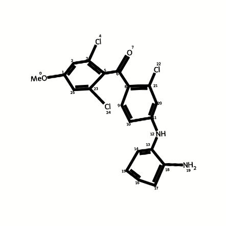 COc1cc(Cl)c(C(=O)c2ccc(Nc3ccccc3N)cc2Cl)c(Cl)c1